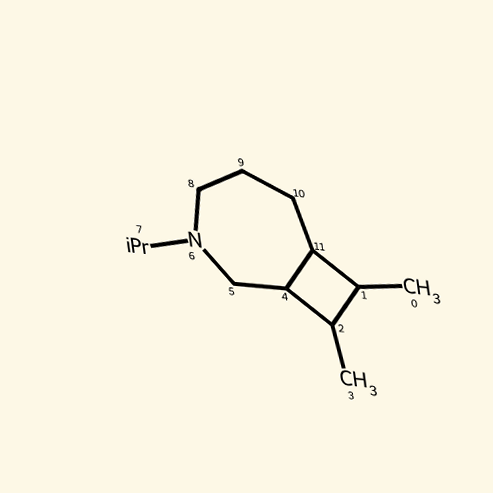 CC1C(C)C2CN(C(C)C)CCCC12